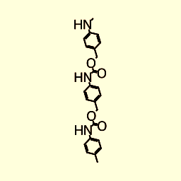 CNc1ccc(COC(=O)Nc2ccc(COC(=O)Nc3ccc(C)cc3)cc2)cc1